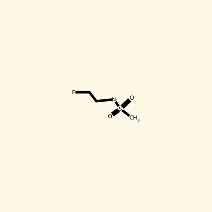 CS(=O)(=O)[N]CCF